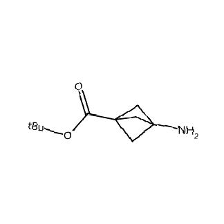 CC(C)(C)OC(=O)C12CC(N)(C1)C2